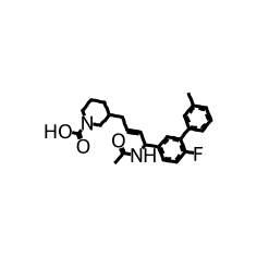 CC(=O)NC(C=CCC1CCCN(C(=O)O)C1)c1ccc(F)c(-c2cccc(C)c2)c1